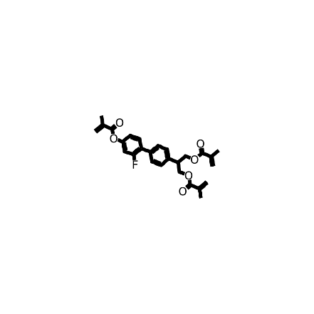 C=C(C)C(=O)OCC(COC(=O)C(=C)C)c1ccc(-c2ccc(OC(=O)C(=C)C)cc2F)cc1